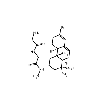 CC(C)C1=CC2=CC[C@@H]3[C@](C)(CCC[C@@]3(C)C(=O)O)[C@H]2CC1.NCC(=O)NCC(=O)NN